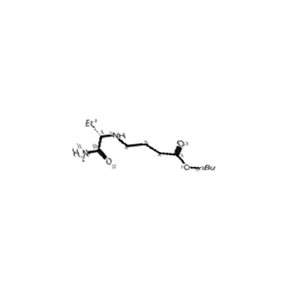 CCCCOC(=O)CCCN[C@@H](CC)C(N)=O